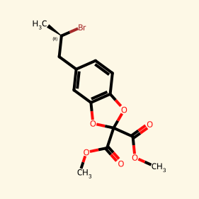 COC(=O)C1(C(=O)OC)Oc2ccc(C[C@@H](C)Br)cc2O1